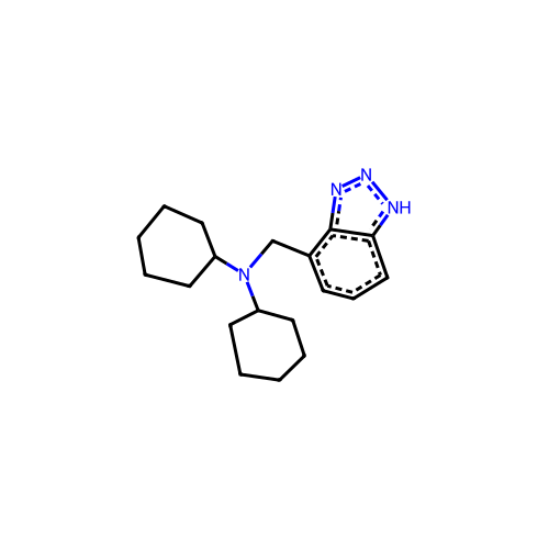 c1cc(CN(C2CCCCC2)C2CCCCC2)c2nn[nH]c2c1